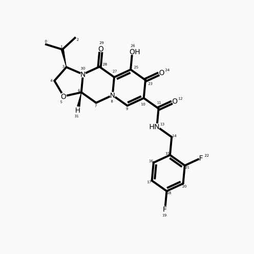 CC(C)[C@@H]1CO[C@H]2Cn3cc(C(=O)NCc4ccc(F)cc4F)c(=O)c(O)c3C(=O)N21